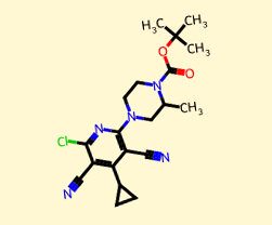 CC1CN(c2nc(Cl)c(C#N)c(C3CC3)c2C#N)CCN1C(=O)OC(C)(C)C